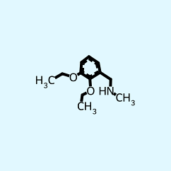 CCOc1cccc(CNC)c1OCC